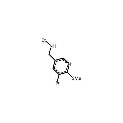 CCNCc1cnc(SC)c(Br)c1